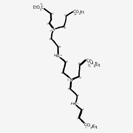 CCOC(=O)CCNCCN(CCNCCN(CCC(=O)OCC)CCC(=O)OCC)CCC(=O)OCC